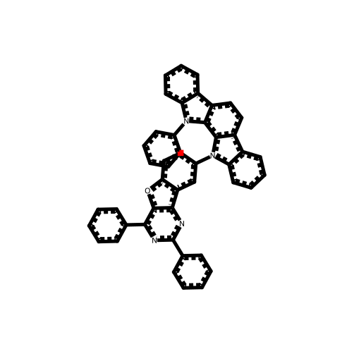 c1ccc(-c2nc(-c3ccccc3)c3oc4ccc(-n5c6ccccc6c6ccc7c8ccccc8n(-c8ccccc8)c7c65)cc4c3n2)cc1